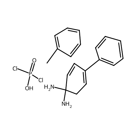 Cc1ccccc1.NC1(N)C=CC(c2ccccc2)=CC1.O=P(O)(Cl)Cl